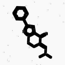 CN(C)/C=C1\CCn2nc(-c3ccccc3)cc2C1=O